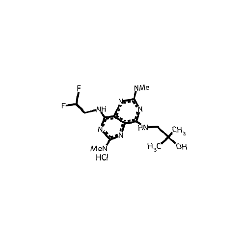 CNc1nc(NCC(C)(C)O)c2nc(NC)nc(NCC(F)F)c2n1.Cl